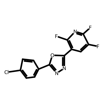 Fc1cc(-c2nnc(-c3ccc(Cl)cc3)o2)c(F)nc1F